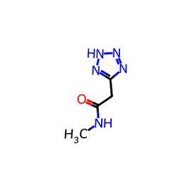 CNC(=O)Cc1nn[nH]n1